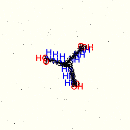 O=C(O)NCCCNCCCNCc1cc(CNCCCNCCCNC(=O)O)cc(CNCCCNCCCNC(=O)O)c1